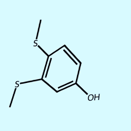 CSc1ccc(O)cc1SC